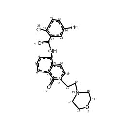 O=C(Nc1cccc2c(=O)n(CCN3CCOCC3)ccc12)c1cc(Cl)ccc1Cl